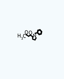 CC(=O)CC(=O)C1CCCN1Cc1ccccc1